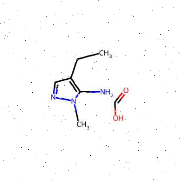 CCc1cnn(C)c1N.O=CO